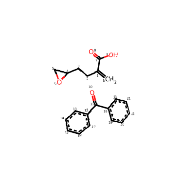 C=C(CCC1CO1)C(=O)O.O=C(c1ccccc1)c1ccccc1